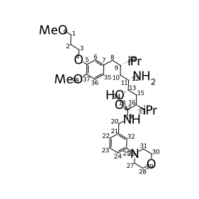 COCCCOc1cc(C[C@@H](C[C@H](N)[C@@H](O)C[C@H](C(=O)NCc2cccc(N3CCOCC3)c2)C(C)C)C(C)C)ccc1OC